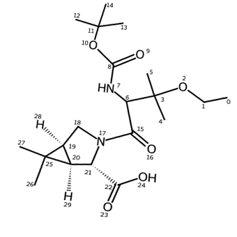 CCOC(C)(C)C(NC(=O)OC(C)(C)C)C(=O)N1C[C@H]2[C@@H]([C@H]1C(=O)O)C2(C)C